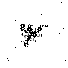 COc1ccc(CNc2cc(C(CO)(NC(C)(C)CCn3cnc4ccccc43)C(O)C(NC(C)(C)CCn3cnc4ccccc43)c3ccc(O)cc3F)ccc2O)cc1